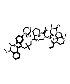 C=CC(=O)N1CCO[C@H]2CN(C(=O)N(C)[C@H](C(=O)N[C@@H](CC)C(=O)N3CCC[C@]([SiH3])(C(=O)OCC(C)(C)Cc4c(-c5cccnc5[C@H](C)OC)n(CC)c5ccc(N6CCOCC6)cc45)N3)C(C)C)C[C@H]21